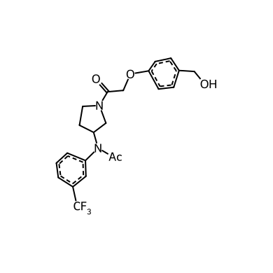 CC(=O)N(c1cccc(C(F)(F)F)c1)C1CCN(C(=O)COc2ccc(CO)cc2)C1